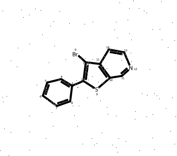 Brc1c(-c2ccccc2)sc2cnccc12